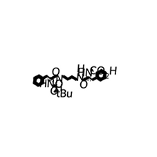 CC(C)(C)OC(=O)N[C@@H](Cc1ccccc1)C(=O)NCCCCNC(=O)[C@H](Cc1ccccc1)NC(=O)O